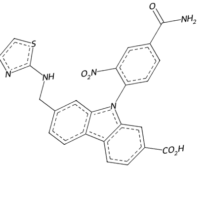 NC(=O)c1ccc(-n2c3cc(CNc4nccs4)ccc3c3ccc(C(=O)O)cc32)c([N+](=O)[O-])c1